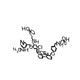 CNc1cncc(COc2cc(OCc3cccc(-c4cccc(COc5ccc(CNCCCC(=O)O)cc5)c4C)c3C)c(Cl)cc2CNCCCC(=O)O)c1